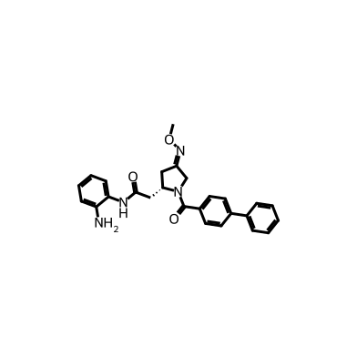 CO/N=C1\C[C@@H](CC(=O)Nc2ccccc2N)N(C(=O)c2ccc(-c3ccccc3)cc2)C1